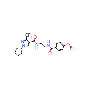 CCOc1ccc(C(=O)NCCNC(=O)c2cn(C3CCCC3)nc2C(F)(F)F)cc1